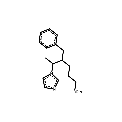 CCCCCCCCCCCCCC(Cc1ccccc1)C(C)n1ccnc1